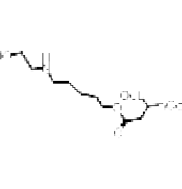 CCCCCCCCC(CCCCCCCC)CC(=O)OCCCCCNCCO